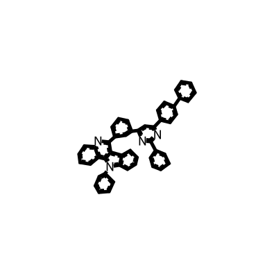 c1ccc(-c2ccc(-c3cc(-c4cccc(-c5nc6ccccc6c6c5c5ccccc5n6-c5ccccc5)c4)nc(-c4ccccc4)n3)cc2)cc1